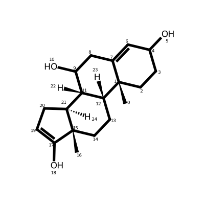 C[C@]12CCC(O)C=C1CC(O)[C@@H]1[C@H]2CC[C@]2(C)C(O)=CC[C@@H]12